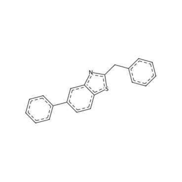 c1ccc(Cc2nc3cc(-c4ccccc4)ccc3s2)cc1